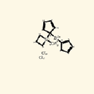 C[Si]1([C]2([Zr+2][C]3=CC=CC3)C=CC=C2)CCC1.[Cl-].[Cl-]